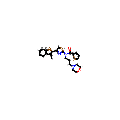 Cc1c(-c2csc(N(CCCN3CCOCC3)C(=O)c3cccs3)n2)sc2ccccc12